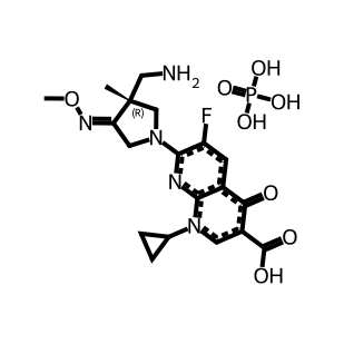 CON=C1CN(c2nc3c(cc2F)c(=O)c(C(=O)O)cn3C2CC2)C[C@@]1(C)CN.O=P(O)(O)O